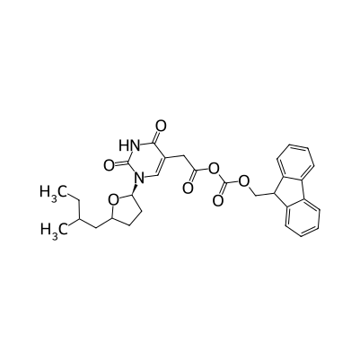 CCC(C)CC1CC[C@H](n2cc(CC(=O)OC(=O)OCC3c4ccccc4-c4ccccc43)c(=O)[nH]c2=O)O1